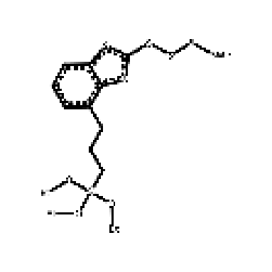 CCO[Si](CCCc1cccc2sc(SSSSC)nc12)(OCC)OCC